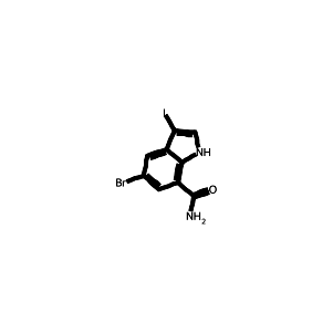 NC(=O)c1cc(Br)cc2c(I)c[nH]c12